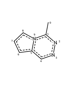 Cc1nncc2cccn12